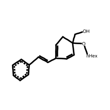 CCCCCCOC1(CO)C=CC(C=Cc2ccccc2)=CC1